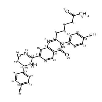 CC(=O)CCCCc1nc2cc(C3=NOC[C@@H](c4ccc(F)cc4)N3)ccc2c(=O)n1-c1ccc(F)cc1